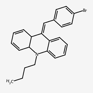 CCCCN1c2ccccc2/C(=C\c2ccc(Br)cc2)C2C=CC=CC21